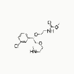 COC(=O)NCCO[C@@H](c1cccc(Cl)c1)[C@H]1CNCCO1